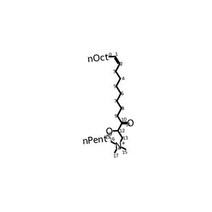 CCCCCCCC/C=C\CCCCCCCC(=O)C(C[N+](C)(C)C)OCCCCC